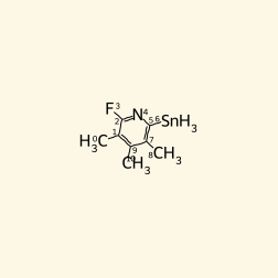 Cc1c(F)n[c]([SnH3])c(C)c1C